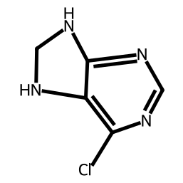 Clc1ncnc2c1NCN2